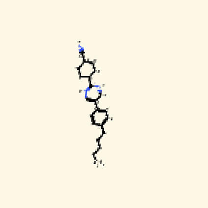 CCCCCc1ccc(-c2cnc(C3CCC(C#N)CC3)nc2)cc1